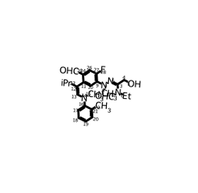 CCN(C=O)/C(CO)=N\N(C)c1cc(/C(=C\N(C)c2ccccc2C)C(C)C)c(C=O)cc1F